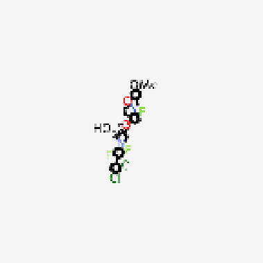 COc1ccc(CN2C(=O)CCc3c(OCC4(C(=O)O)CCN(c5cc(F)c(-c6ccc(Cl)cc6Cl)cc5F)CC4)ccc(F)c32)cc1